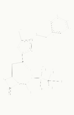 Cc1cc(C(=O)CC2CC(=O)N2C(C)O[Si](C)(C)C(C)(C)C)nn1CCc1ccccc1